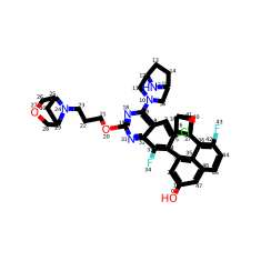 Oc1cc(-c2c(Cl)cc3c(N4CC5CCC(C4)N5)nc(OCCCN4C5COCC4C5)nc3c2F)c2c(C34CC(C3)C4)c(F)ccc2c1